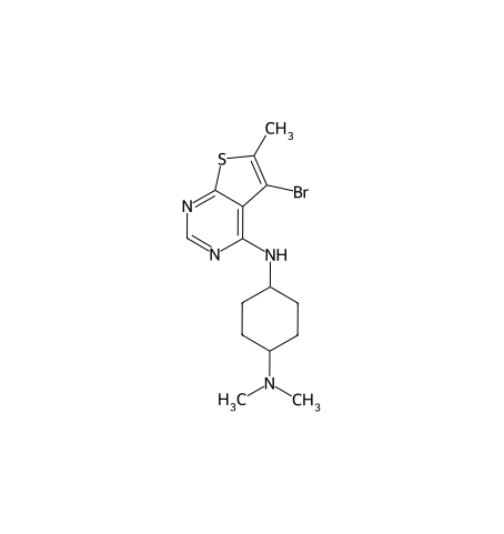 Cc1sc2ncnc(NC3CCC(N(C)C)CC3)c2c1Br